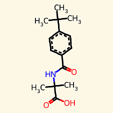 CC(C)(NC(=O)c1ccc(C(C)(C)C)cc1)C(=O)O